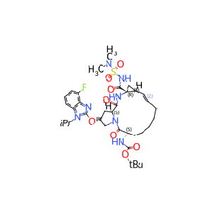 CC(C)n1c(O[C@@H]2C[C@H]3C(=O)N[C@]4(C(=O)NS(=O)(=O)N(C)C)C[C@H]4/C=C\CCCCC[C@H](NC(=O)OC(C)(C)C)C(=O)N3C2)nc2c(F)cccc21